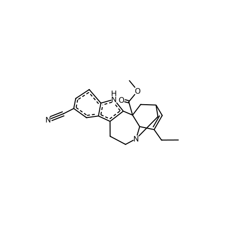 CCC1=CC2CN3CCc4c([nH]c5ccc(C#N)cc45)C(C(=O)OC)(C2)C13